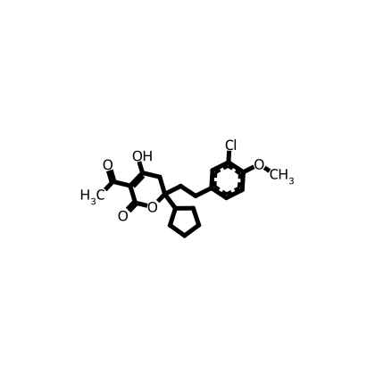 COc1ccc(CCC2(C3CCCC3)CC(O)=C(C(C)=O)C(=O)O2)cc1Cl